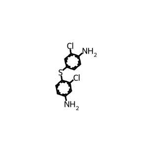 Nc1ccc(Sc2ccc(N)c(Cl)c2)c(Cl)c1